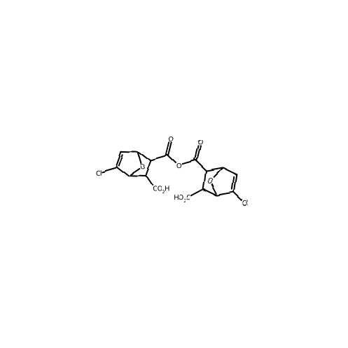 O=C(OC(=O)C1C2C=C(Cl)C(O2)C1C(=O)O)C1C2C=C(Cl)C(O2)C1C(=O)O